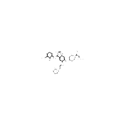 C[C@H](O)C(=O)N1CCC(Oc2cc3ncnc(Nc4cccc(Cl)c4F)c3cc2OCCN2CCCC2)CC1